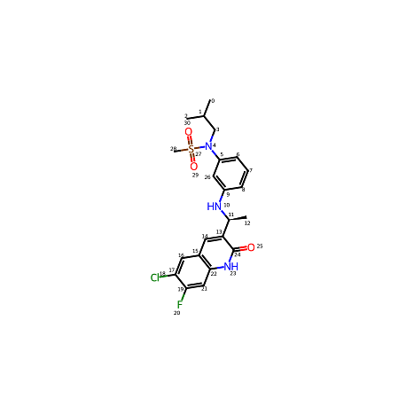 CC(C)CN(c1cccc(N[C@@H](C)c2cc3cc(Cl)c(F)cc3[nH]c2=O)c1)S(C)(=O)=O